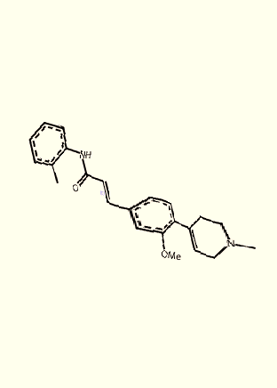 COc1cc(/C=C/C(=O)Nc2ccccc2C)ccc1C1=CCN(C)CC1